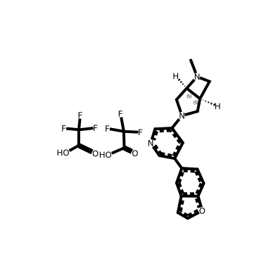 CN1C[C@H]2CN(c3cncc(-c4ccc5occc5c4)c3)C[C@H]21.O=C(O)C(F)(F)F.O=C(O)C(F)(F)F